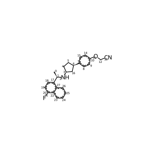 C[C@@H](N[C@H]1CC[C@@H](c2ccc(OCC#N)cc2)C1)c1ccc(F)c2ccccc12